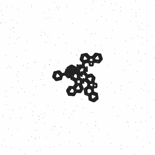 c1ccc(-c2ccc(-c3nc(-c4ccc5oc6c7ccccc7ccc6c5c4-n4c5cc6ccccc6cc5c5c6ccccc6ccc54)nc(-c4cccc5c4oc4ccccc45)n3)cc2)cc1